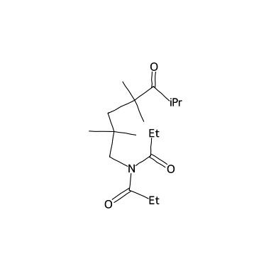 CCC(=O)N(CC(C)(C)CC(C)(C)C(=O)C(C)C)C(=O)CC